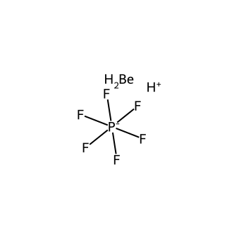 F[P-](F)(F)(F)(F)F.[BeH2].[H+]